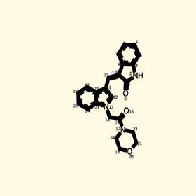 O=C1Nc2ccccc2/C1=C/c1cn(CC(=O)N2CCOCC2)c2ccccc12